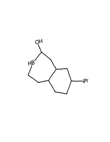 CC(C)C1CCC2CCBC(O)CC2C1